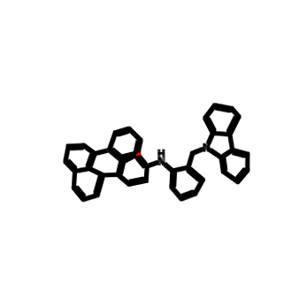 c1ccc(-c2cccc3cccc(-c4ccc(Nc5ccccc5Cn5c6ccccc6c6ccccc65)cc4)c23)cc1